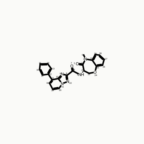 CN1C(=O)[C@@H](NC(=O)c2nc3c(-c4ccccc4)cccn3n2)COc2ccccc21